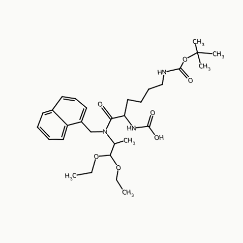 CCOC(OCC)C(C)N(Cc1cccc2ccccc12)C(=O)C(CCCCNC(=O)OC(C)(C)C)NC(=O)O